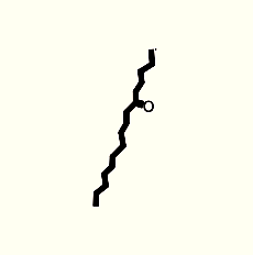 [CH2]CCCCC(=O)CCCCCCCCCC